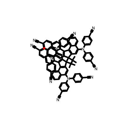 CC(C)(C)C1(C2(C(C)(C)C)c3cc(N(c4ccc(C#N)cc4)c4ccc(C#N)cc4)c4ccccc4c3-c3c2cc(N(c2ccc(C#N)cc2)c2ccc(C#N)cc2)c2ccccc32)c2cc(N(c3ccc(C#N)cc3)c3ccc(C#N)cc3)c3ccccc3c2-c2c1cc(N(c1ccc(C#N)cc1)c1ccc(C#N)cc1)c1ccccc21